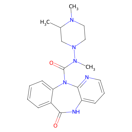 CC1CN(N(C)C(=O)N2c3ccccc3C(=O)Nc3cccnc32)CCN1C